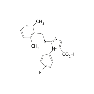 Cc1cccc(C)c1CSc1ncc(C(=O)O)n1-c1ccc(F)cc1